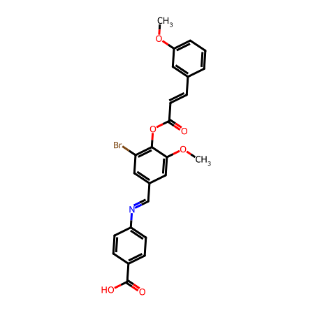 COc1cccc(/C=C/C(=O)Oc2c(Br)cc(/C=N/c3ccc(C(=O)O)cc3)cc2OC)c1